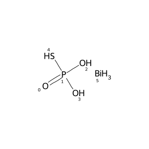 O=P(O)(O)S.[BiH3]